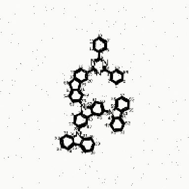 c1ccc(-c2nc(-c3ccccc3)nc(-c3ccc4c(c3)-c3cc(-n5c6ccc(-n7c8ccccc8c8ccccc87)cc6c6cc(-n7c8ccccc8c8ccccc87)ccc65)ccc3C4)n2)cc1